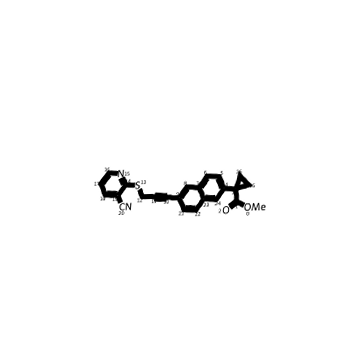 COC(=O)C1(c2ccc3cc(C#CCSc4ncccc4C#N)ccc3c2)CC1